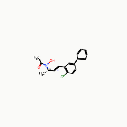 CC(=O)N(O)[C@@H](C)/C=C/c1cc(-c2ccccc2)ccc1Cl